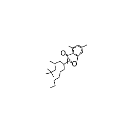 CCCCCCC(CC(C)CC(C)(C)C)[P](=O)C(=O)c1c(C)cc(C)cc1C